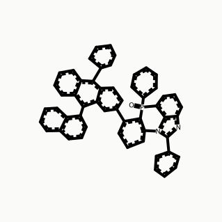 O=P1(c2ccccc2)c2c(-c3ccc4c(-c5ccccc5)c5ccccc5c(-c5cccc6ccccc56)c4c3)cccc2-n2c(-c3ccccc3)nc3cccc1c32